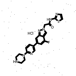 Cl.O=C(Cn1cc2c(F)cc(-c3ccc(N4CCNCC4)nc3)cc2n1)Nc1nccs1